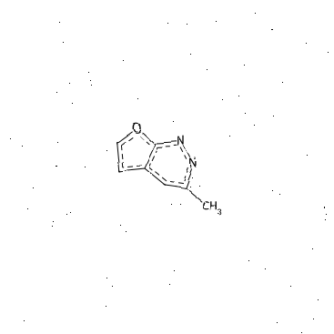 Cc1cc2ccoc2nn1